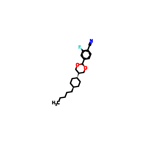 CCCCC[C@H]1CC[C@H](C2COC(c3ccc(C#N)c(F)c3)OC2)CC1